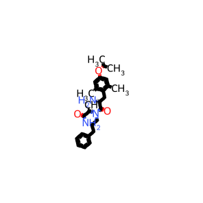 Cc1cc(OC(C)C)cc(C)c1C[C@H](N)C(=O)N(CCCc1ccccc1)[C@H](C)C(N)=O